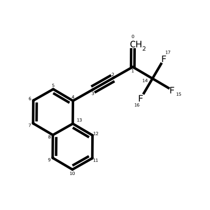 C=C(C#Cc1cccc2ccccc12)C(F)(F)F